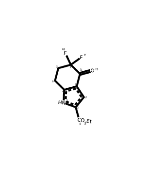 CCOC(=O)c1cc2c([nH]1)CCC(F)(F)C2=O